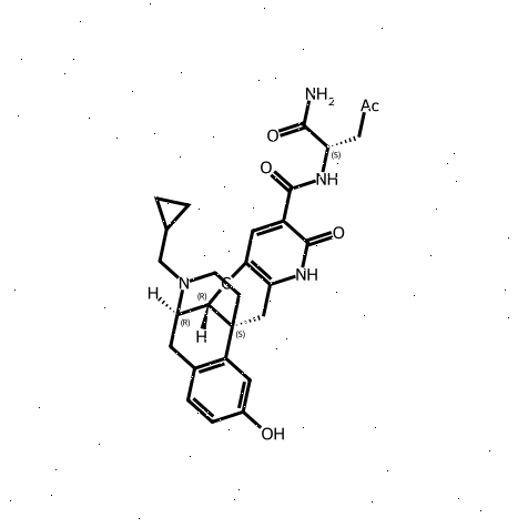 CC(=O)C[C@H](NC(=O)c1cc2c([nH]c1=O)C[C@]13CCN(CC4CC4)[C@H](Cc4ccc(O)cc41)[C@@H]3C2)C(N)=O